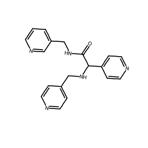 O=C(NCc1cccnc1)C(NCc1ccncc1)c1ccncc1